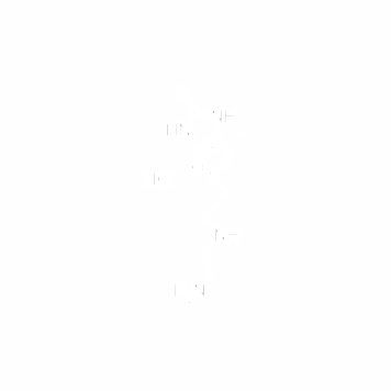 C[C@@]1(CSCCNCCN)NC(=O)NC1=O.Cl